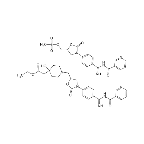 CCOC(=O)CC1(O)CCN(CC2CN(c3ccc(C(=N)NC(=O)c4cccnc4)cc3)C(=O)O2)CC1.CS(=O)(=O)OCC1CN(c2ccc(C(=N)NC(=O)c3cccnc3)cc2)C(=O)O1